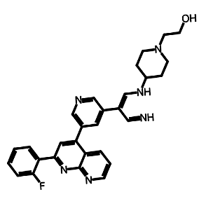 N=C/C(=C\NC1CCN(CCO)CC1)c1cncc(-c2cc(-c3ccccc3F)nc3ncccc23)c1